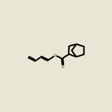 C=CC=COC(=O)C1CC2CCC1C2